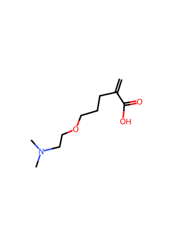 C=C(CCCOCCN(C)C)C(=O)O